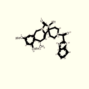 CCN1C(=O)N2Cc3cc(OC)cc(OC)c3[C@@H](C)C=C2C12CCN(C(=O)c1nc3ccccc3s1)CC2